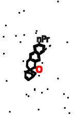 CCCc1ccc2cc3c(cc2c1)CCC1(CC2C=CC1C2)C3=O